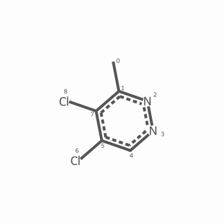 Cc1nncc(Cl)c1Cl